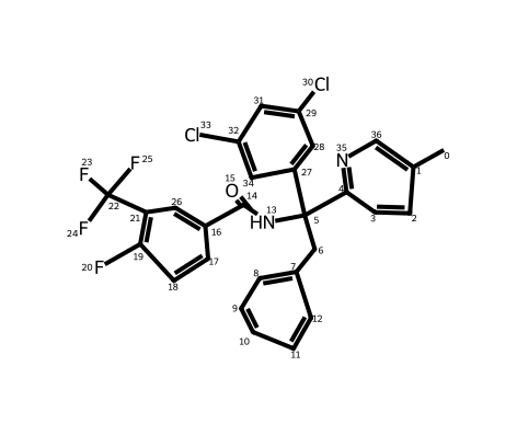 Cc1ccc(C(Cc2ccccc2)(NC(=O)c2ccc(F)c(C(F)(F)F)c2)c2cc(Cl)cc(Cl)c2)nc1